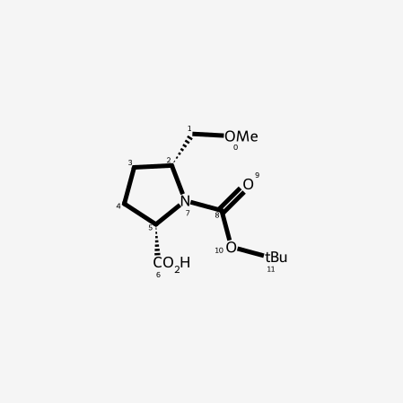 COC[C@H]1CC[C@@H](C(=O)O)N1C(=O)OC(C)(C)C